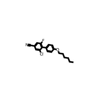 CCCCCCOc1ccc(-c2c(F)cc(C#N)cc2Cl)cc1